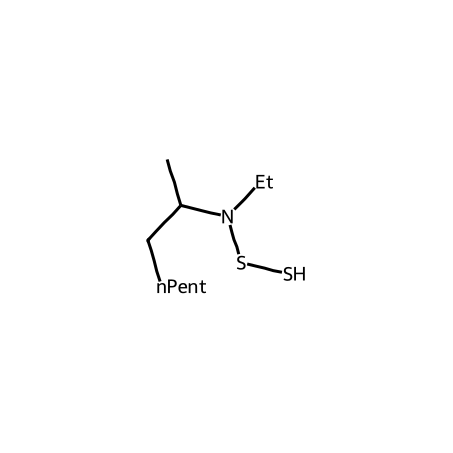 CCCCCCC(C)N(CC)SS